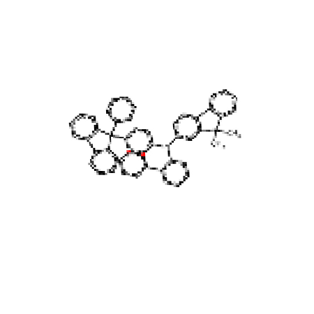 CC1(C)c2ccccc2-c2ccc(N(c3ccc(C4(c5ccccc5)c5ccccc5-c5ccccc54)cc3)c3ccccc3-c3ccccc3)cc21